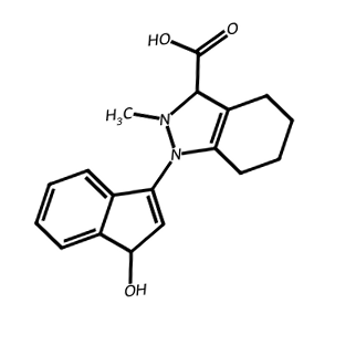 CN1C(C(=O)O)C2=C(CCCC2)N1C1=CC(O)c2ccccc21